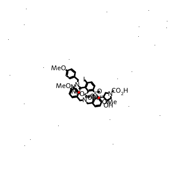 COc1ccc(CN(Cc2ccc(OC)cc2)S(=O)(=O)c2c(S(=O)(=O)N[C@H]3CN(C(=O)O)C[C@H]3O)ccc(I)c2-c2nnnn2Cc2ccc(OC)cc2)cc1